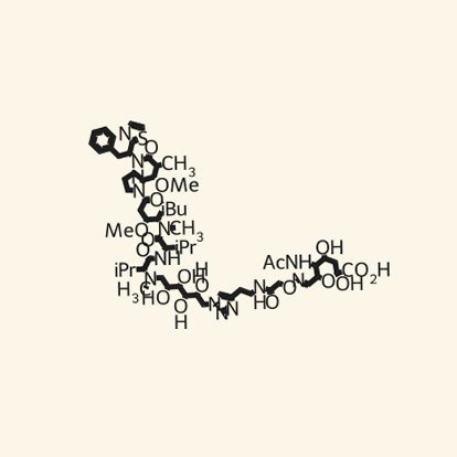 CCC(C)C(C(CC(=O)N1CCCC1C(OC)C(C)C(=O)NC(Cc1ccccc1)c1nccs1)OC)N(C)C(=O)C(NC(=O)C(C(C)C)N(C)CC(O)C(O)C(O)C(O)Cn1cc(CCNC(=O)CO/N=C/C2OC(O)(C(=O)O)CC(O)C2NC(C)=O)nn1)C(C)C